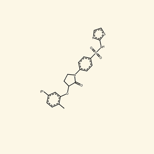 Cc1ccc(C(C)C)cc1OC1CCN(c2ccc(S(=O)(=O)Nc3nccs3)cc2)C1=O